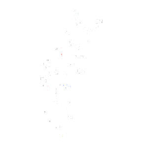 CC1(C)[C@H](NC(=O)c2ccc(S)cc2)C(C)(C)[C@H]1Oc1ccc(C#N)c(Cl)c1